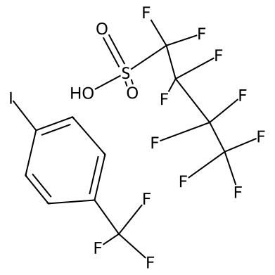 FC(F)(F)c1ccc(I)cc1.O=S(=O)(O)C(F)(F)C(F)(F)C(F)(F)C(F)(F)F